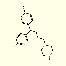 Fc1ccc(C(SCCN2CCNCC2)c2ccc(F)cc2)cc1